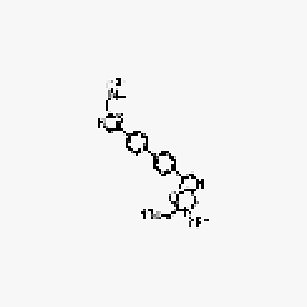 CCCN(C)Cc1ncc(-c2ccc(-c3ccc(-c4cnc(CN(CCC)C(=O)CC(C)(C)C)s4)cc3)cc2)s1